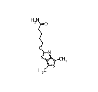 Cc1sc(C)c2sc(OCCCCC(N)=O)nc12